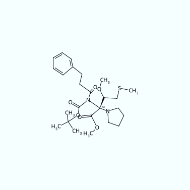 COC(=O)[C@@](C(CSC)OC)(N1CCCC1)N(C(=O)CCc1ccccc1)C(=O)OC(C)(C)C